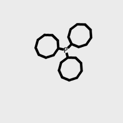 C1CCCCC(P(C2CCCCCCCC2)C2CCCCCCCC2)CCC1